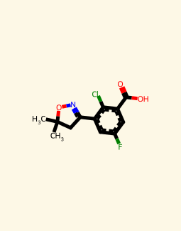 CC1(C)CC(c2cc(F)cc(C(=O)O)c2Cl)=NO1